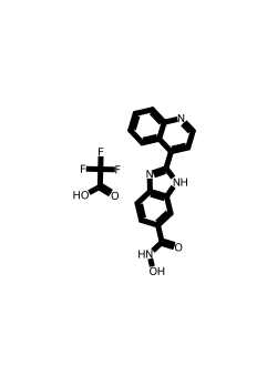 O=C(NO)c1ccc2nc(-c3ccnc4ccccc34)[nH]c2c1.O=C(O)C(F)(F)F